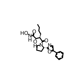 CCCC[C@@H](C(=O)N1CCC[C@H]1c1ncc(-c2ccccc2)o1)[C@H](O)C(=O)NO